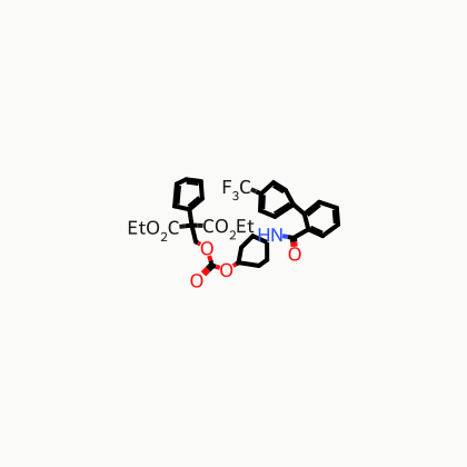 CCOC(=O)C(COC(=O)OC1CCC(NC(=O)c2ccccc2-c2ccc(C(F)(F)F)cc2)CC1)(C(=O)OCC)c1ccccc1